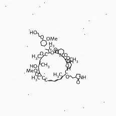 CO[C@@H]1C[C@H](C[C@@H](C)[C@@H]2CC(=O)[C@H](C)/C=C(\C)[C@@H](O)[C@@H](OC)C(=O)[C@H](C)CC/C=C/C=C/C=C(\C)[C@@H](OCCC3CCNC3=O)C[C@@H]3CC[C@@H](C)[C@@](O)(O3)C(=O)C(=O)N3CCCC[C@H]3C(=O)O2)CC[C@H]1OCCO